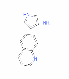 N.c1cc[nH]c1.c1ccc2ncccc2c1